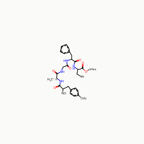 CCCCCCOC(=O)C(CC(C)C)NC(=O)C(Cc1ccccc1)NC(=O)CNC(=O)[C@@H](C)NC(=O)C(Cc1ccc(OC(C)=O)cc1)N=O